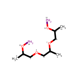 CC(COCC(C)OCC(C)OP)OP